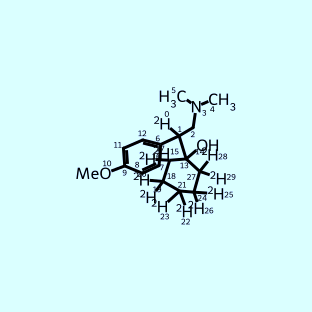 [2H]C(CN(C)C)(c1ccc(OC)cc1)C1(O)C([2H])([2H])C([2H])([2H])C([2H])([2H])C([2H])([2H])C1([2H])[2H]